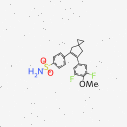 COc1c(F)cc(C2=C(c3ccc(S(N)(=O)=O)cc3)CC3(CC3)C2)cc1F